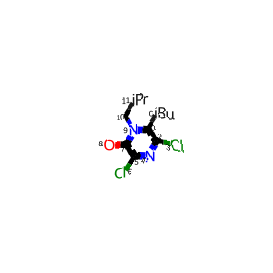 CCC(C)c1c(Cl)nc(Cl)c(=O)n1CC(C)C